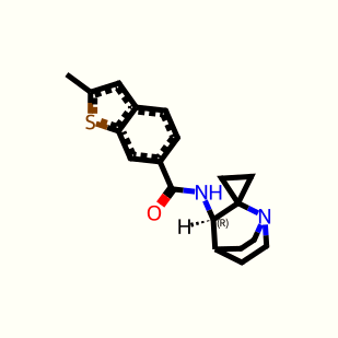 Cc1cc2ccc(C(=O)N[C@@H]3C4CCN(CC4)C34CC4)cc2s1